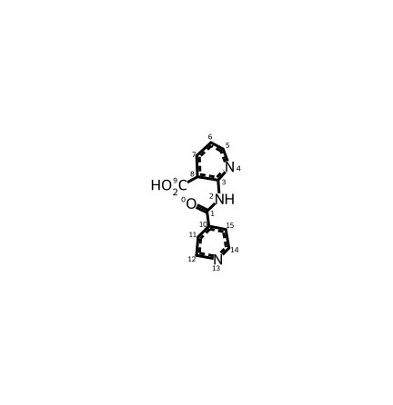 O=C(Nc1ncccc1C(=O)O)c1ccncc1